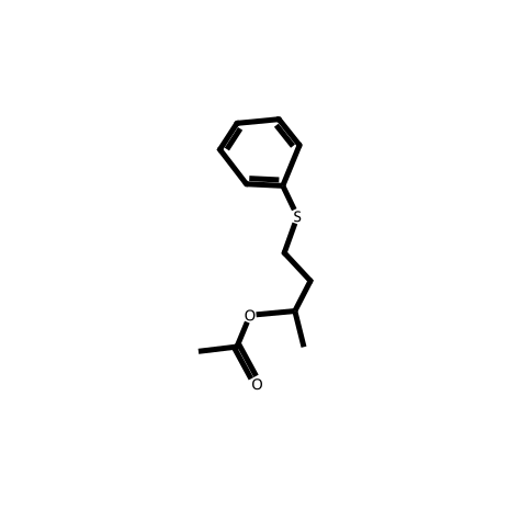 CC(=O)OC(C)CCSc1ccccc1